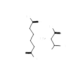 CC(C)[C@H](N)C(=O)O.O=C(O)CCCCC(=O)O